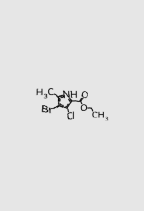 CCOC(=O)c1[nH]c(C)c(Br)c1Cl